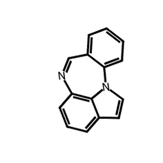 C1=Nc2cccc3ccn(c23)-c2ccccc21